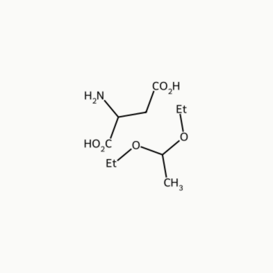 CCOC(C)OCC.NC(CC(=O)O)C(=O)O